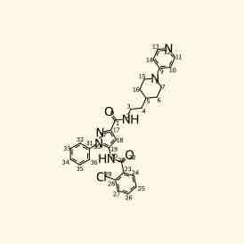 O=C(NCCC1CCN(c2ccncc2)CC1)c1cc(NC(=O)c2ccccc2Cl)n(-c2ccccc2)n1